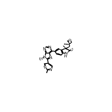 CCn1c(-c2cnc(C)nc2)nc2c(-c3ccc4c(c3)[C@](C)(CC3(C)COC3)C(=O)N4)ncnc21